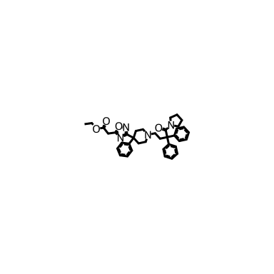 CCOC(=O)Cc1nc(C2(c3ccccc3)CCN(CCC(C(=O)N3CCCC3)(c3ccccc3)c3ccccc3)CC2)no1